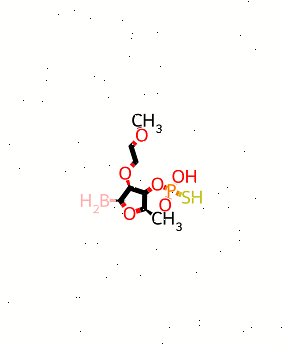 B[C@@H]1O[C@H](C)C(OP(=O)(O)S)[C@@H]1OCCOC